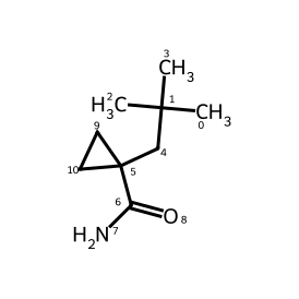 CC(C)(C)CC1(C(N)=O)CC1